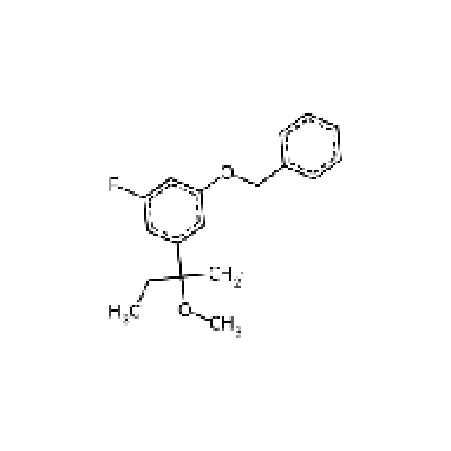 [CH2]C(CC)(OC)c1cc(F)cc(OCc2ccccc2)c1